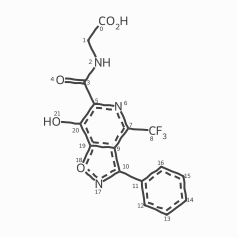 O=C(O)CNC(=O)c1nc(C(F)(F)F)c2c(-c3ccccc3)noc2c1O